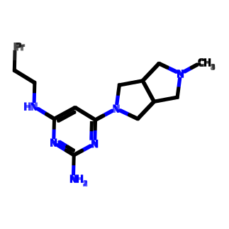 CC(C)CCNc1cc(N2CC3CN(C)CC3C2)nc(N)n1